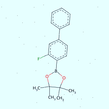 CC1(C)OB(c2ccc(-c3ccccc3)cc2F)OC1(C)C